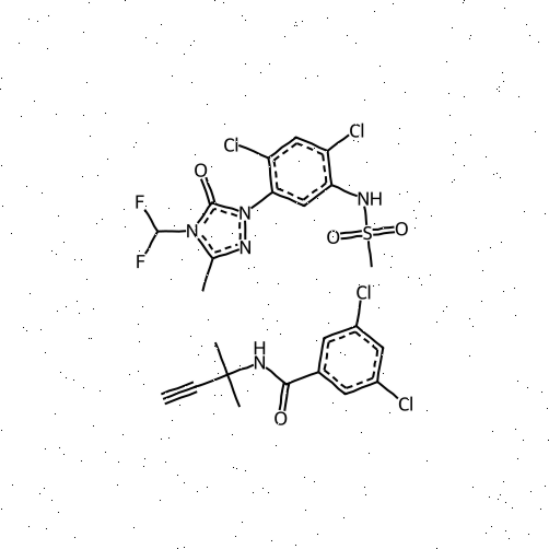 C#CC(C)(C)NC(=O)c1cc(Cl)cc(Cl)c1.Cc1nn(-c2cc(NS(C)(=O)=O)c(Cl)cc2Cl)c(=O)n1C(F)F